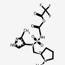 Cc1n[nH]cc1N(C[C@H]1CCCN1C)S(=O)(=O)NC(=O)OC(=O)C(F)(F)F